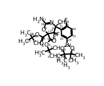 CC(C)(C)OC(=O)C1(C(=O)OC(C)(C)C)OC(N)=N[C@](C)(c2cc(B3OC(C)(C)C(C)(C)O3)ccc2F)C1(F)F